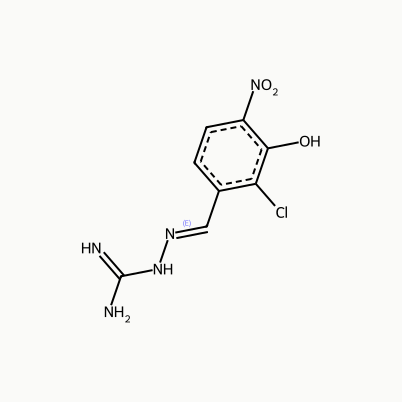 N=C(N)N/N=C/c1ccc([N+](=O)[O-])c(O)c1Cl